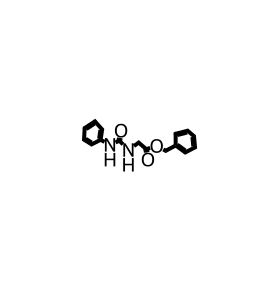 O=C(NCC(=O)OCc1ccccc1)Nc1ccccc1